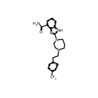 NC(=O)c1cccc2[nH]c(N3CCCN(CCc4ccc(C(F)(F)F)cc4)CC3)nc12